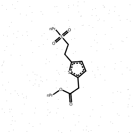 CCCOC(=O)Cc1ccc(CCS(=O)(=O)CCC)s1